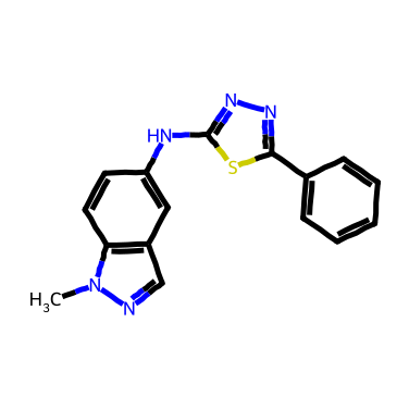 Cn1ncc2cc(Nc3nnc(-c4ccccc4)s3)ccc21